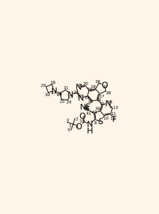 CC(C)(C)OC(=O)Nc1sc2c(F)cnc(-c3c4c(c5cnc(N6CC[C@H](N7CCC7)C6)nc5c3F)COC4)c2c1C#N